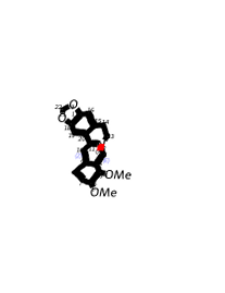 C/C=c1/c(OC)c(OC)cc/c1=C/C1=NCCc2cc3c(cc21)OCO3